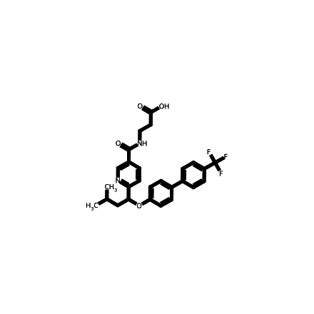 CC(C)CC(Oc1ccc(-c2ccc(C(F)(F)F)cc2)cc1)c1ccc(C(=O)NCCC(=O)O)cn1